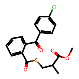 COC(=O)C(C)CSC(=O)c1ccccc1C(=O)c1ccc(Cl)cc1